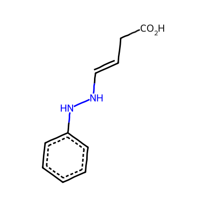 O=C(O)CC=CNNc1ccccc1